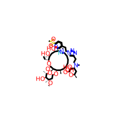 CC[C@H]1OC(=O)[C@H](C)[C@@H](O[C@H]2C[C@@](C)(OC)[C@@H](O)[C@H](C)O2)[C@H](C)[C@@H](O[C@@H]2O[C@H](C)C[C@H](N(C)CCc3cn([C@H](CF)Cc4ccc(S(C)(=O)=O)nc4)nn3)[C@H]2O)[C@](C)(O)CC[C@@H](C)CN(C)[C@H](C)[C@@H](O)C[C@]1(C)O